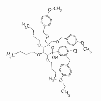 CCCCOC1[C@@H](OCCCC)[C@H](OCCCC)C(COCc2ccc(OC)cc2)(COCc2ccc(OC)cc2)OC1(O)c1ccc(Cl)c(Cc2ccc(OCC)cc2)c1